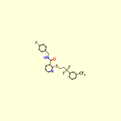 O=C(NCc1ccc(F)cc1)c1cccnc1SCCC(F)(F)c1cccc(C(F)(F)F)c1